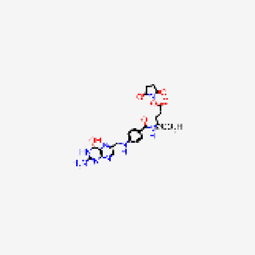 NC1=Nc2ncc(CNc3ccc(C(=O)N[C@@H](CCC(=O)ON4C(=O)CCC4=O)C(=O)O)cc3)nc2C(O)N1